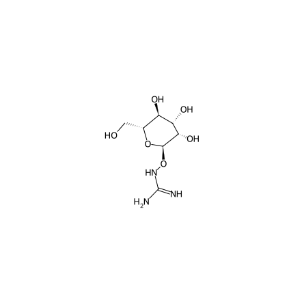 N=C(N)NO[C@H]1O[C@H](CO)[C@@H](O)[C@H](O)[C@@H]1O